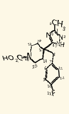 Cc1n[nH]c(C2(Cc3ccc(F)cc3)CCN(C(=O)O)CC2)n1